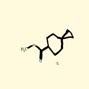 COC(=O)C1CCC2(CC1)CC2.[S]